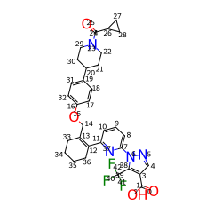 O=C(O)c1cnn(-c2cccc(C3=C(COc4ccc(C5CCN(C(=O)C6CC6)CC5)cc4)CCCC3)n2)c1C(F)(F)F